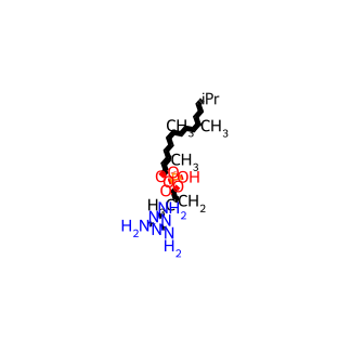 C=C(C)C(=O)OP(=O)(O)OC(=O)/C=C(\C)CCC[C@H](C)CCC[C@H](C)CCCC(C)C.Nc1nc(N)nc(N)n1